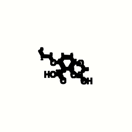 CCCOc1ccc2c(c1C(=O)O)OB(O)CO2